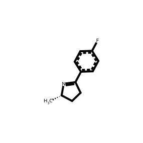 C[C@H]1CCC(c2ccc(F)cc2)=N1